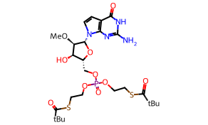 CO[C@@H]1[C@H](O)[C@@H](COP(=O)(OCCSC(=O)C(C)(C)C)OCCSC(=O)C(C)(C)C)O[C@H]1n1ccc2c(=O)[nH]c(N)nc21